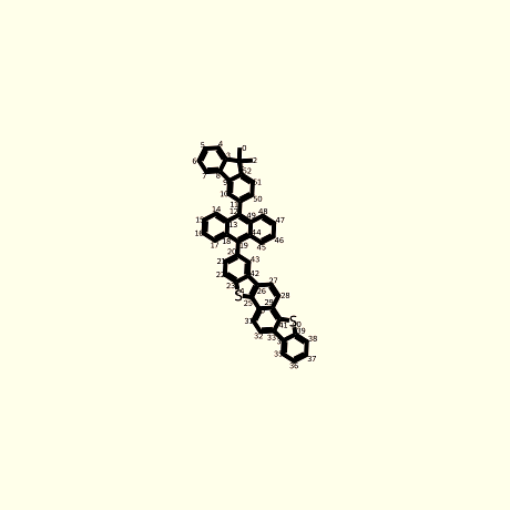 CC1(C)c2ccccc2-c2cc(-c3c4ccccc4c(-c4ccc5sc6c(ccc7c6ccc6c8ccccc8sc67)c5c4)c4ccccc34)ccc21